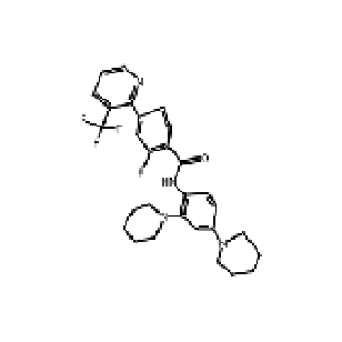 O=C(Nc1ccc(N2CCCCC2)cc1N1CCCCC1)c1ccc(-c2ncccc2C(F)(F)F)cc1F